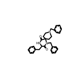 O=C1C(Cc2ccccc2)NC(=O)C2(CCN(Cc3ccccc3)CC2)N1Cc1ccccc1